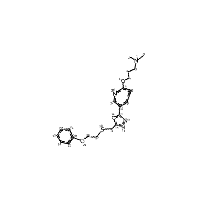 CN(C)CCCOc1ccc(-c2nnc(CSCCOc3ccccc3)o2)cn1